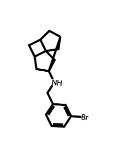 Brc1cccc(CNC23CC4CC5CC2CC54C3)c1